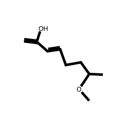 C=C(O)C=CCCC(C)OC